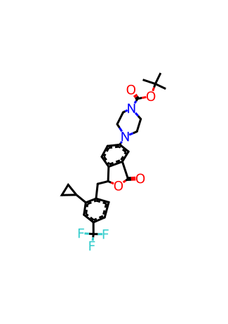 CC(C)(C)OC(=O)N1CCN(c2ccc3c(c2)C(=O)OC3Cc2ccc(C(F)(F)F)cc2C2CC2)CC1